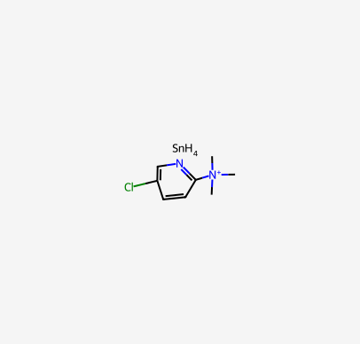 C[N+](C)(C)c1ccc(Cl)cn1.[SnH4]